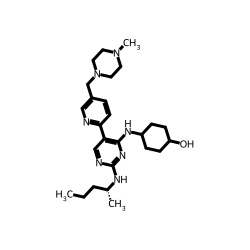 CCC[C@@H](C)Nc1ncc(-c2ccc(CN3CCN(C)CC3)cn2)c(NC2CCC(O)CC2)n1